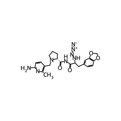 Cc1nc(N)ccc1CN1CCC[C@@H]1C(=O)NC(=O)C(Cc1ccc2c(c1)OCO2)NN=[N+]=[N-]